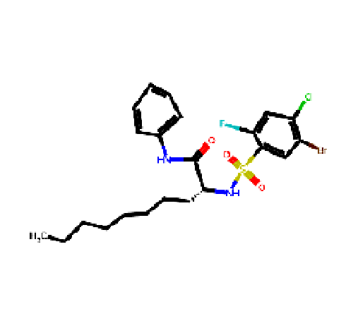 CCCCCCCC[C@@H](NS(=O)(=O)c1cc(Br)c(Cl)cc1F)C(=O)Nc1ccccc1